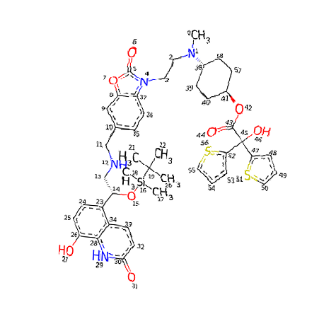 CN(CCn1c(=O)oc2cc(CNC[C@H](O[Si](C)(C)C(C)(C)C)c3ccc(O)c4[nH]c(=O)ccc34)ccc21)[C@H]1CC[C@H](OC(=O)C(O)(c2cccs2)c2cccs2)CC1